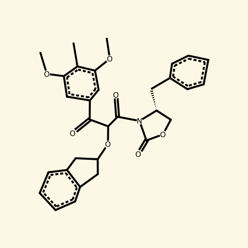 COc1cc(C(=O)C(OC2Cc3ccccc3C2)C(=O)N2C(=O)OC[C@H]2Cc2ccccc2)cc(OC)c1C